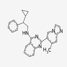 Cc1cc2nccn2cc1-c1nc(NCC(c2ccccc2)C2CC2)c2ccccc2n1